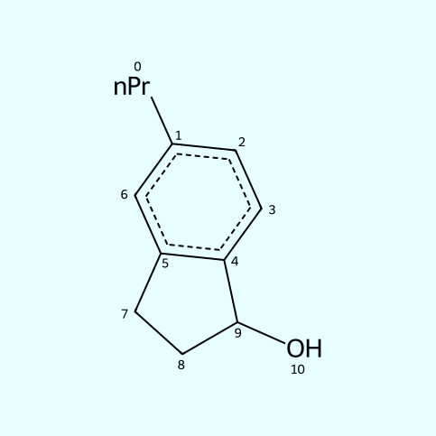 CCCc1ccc2c(c1)CCC2O